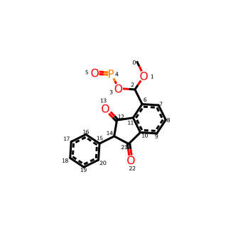 COC(OP=O)c1cccc2c1C(=O)C(c1ccccc1)C2=O